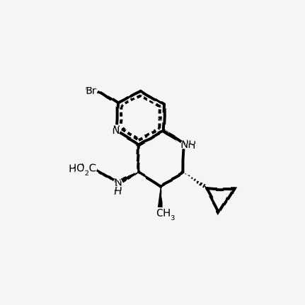 C[C@@H]1[C@@H](C2CC2)Nc2ccc(Br)nc2[C@@H]1NC(=O)O